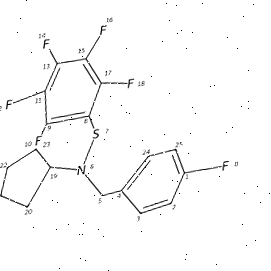 Fc1ccc(CN(Sc2c(F)c(F)c(F)c(F)c2F)C2CCCC2)cc1